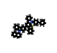 c1ccc(-c2ccc(-n3c4ccccc4c4cc(-c5ccc6c(c5)c5ccccc5n6-c5cccc6ccccc56)c5c6ccccc6sc5c43)cc2)cc1